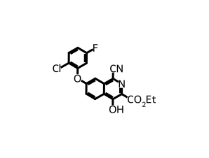 CCOC(=O)c1nc(C#N)c2cc(Oc3cc(F)ccc3Cl)ccc2c1O